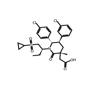 CC[C@@H](CS(=O)(=O)C1CC1)N1C(=O)[C@@](C)(CC(=O)O)C[C@H](c2cccc(Cl)c2)[C@H]1c1ccc(Cl)cc1